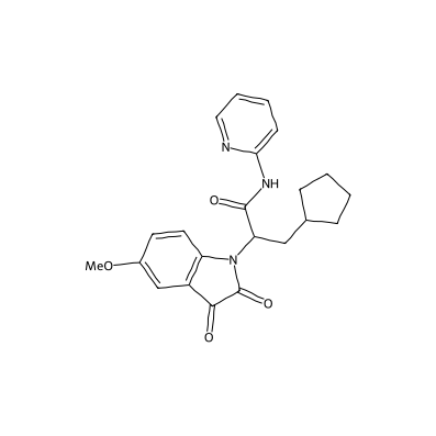 COc1ccc2c(c1)C(=O)C(=O)N2C(CC1CCCC1)C(=O)Nc1ccccn1